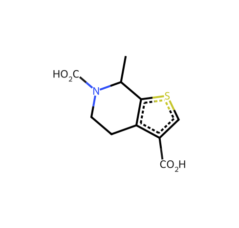 CC1c2scc(C(=O)O)c2CCN1C(=O)O